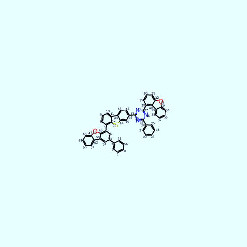 c1ccc(-c2cc(-c3cccc4c3sc3cc(-c5nc(-c6ccccc6)nc(-c6cccc7oc8ccccc8c67)n5)ccc34)c3oc4ccccc4c3c2)cc1